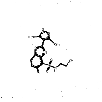 Cc1n[nH]c(N)c1-c1nc2c(S(=O)(=O)NCCO)c(F)ccc2s1